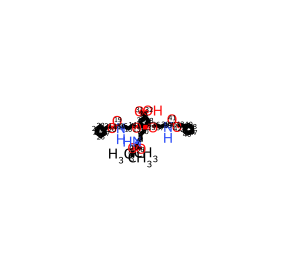 CC(C)(C)OC(=O)NCCCc1c(OCCCNC(=O)OCc2ccccc2)cc(C(=O)O)cc1OCCCNC(=O)OCc1ccccc1